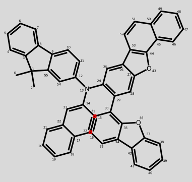 CC1(C)c2ccccc2-c2ccc(N(c3ccc4ccccc4c3)c3cc4c(cc3-c3cccc5c3oc3ccccc35)oc3c5ccccc5ccc43)cc21